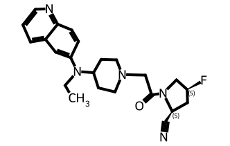 CCN(c1ccc2ncccc2c1)C1CCN(CC(=O)N2C[C@@H](F)C[C@H]2C#N)CC1